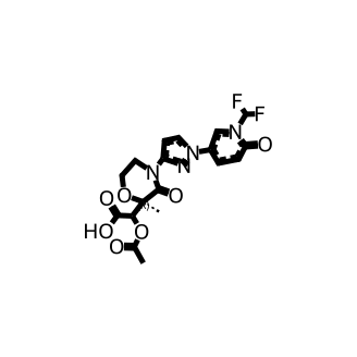 CC(=O)OC(C(=O)O)[C@@]1(C)OCCN(c2ccn(-c3ccc(=O)n(C(F)F)c3)n2)C1=O